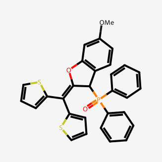 COc1ccc2c(c1)OC(=C(c1cccs1)c1cccs1)C2P(=O)(c1ccccc1)c1ccccc1